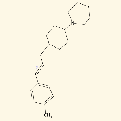 Cc1ccc(/C=C/CN2CCC(N3CCCCC3)CC2)cc1